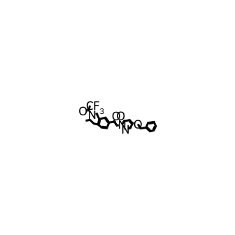 CC1Cc2ccc(C(=O)Cn3ncc(OCc4ccccc4)cc3=O)cc2CN1C(=O)C(F)(F)F